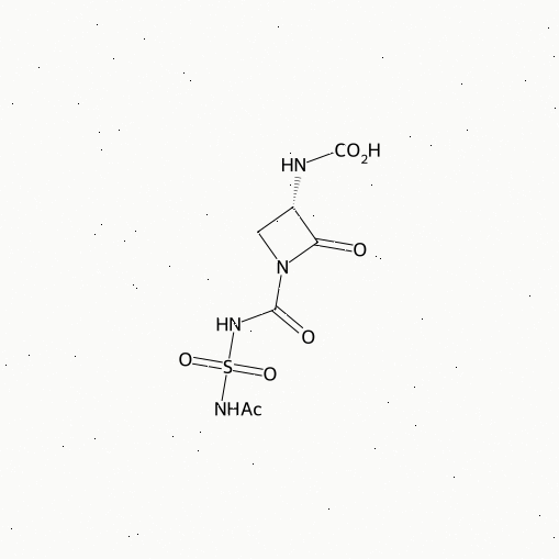 CC(=O)NS(=O)(=O)NC(=O)N1C[C@H](NC(=O)O)C1=O